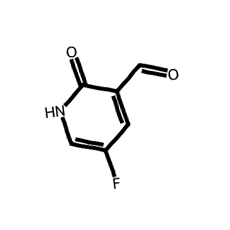 O=Cc1cc(F)c[nH]c1=O